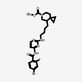 CC(C)(C)OC(=O)N1CCC2(CC2)C(CCCCNc2nccc(NC(=O)c3ccc(Br)cc3F)n2)C1